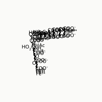 CC(=O)NN(CC(=O)[O-])CC(=O)[O-].CC(=O)NN(CC(=O)[O-])CC(=O)[O-].CC(=O)NN(CC(=O)[O-])CC(=O)[O-].N[C@@H](CC(=O)[O-])C(=O)O.N[C@@H](CC(=O)[O-])C(=O)O.N[C@@H](CC(=O)[O-])C(=O)O.O=C([O-])CC(=O)CC(=O)[O-].O=C([O-])CC(=O)CC(=O)[O-].O=C([O-])CC(=O)CC(=O)[O-].O=C([O-])CCC(=O)C(=O)[O-].O=C([O-])CCC(=O)C(=O)[O-].O=C([O-])CCC(=O)C(=O)[O-].[Fe+3].[Fe+3].[Fe+3].[Fe+3].[Fe+3].[Fe+3].[Fe+3]